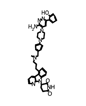 CN(CCCc1cccc2c1c1cccnc1n2C1CCC(=O)NC1=O)Cc1ccc(N2CCN(c3cc(-c4ccccc4O)nnc3N)CC2)cc1